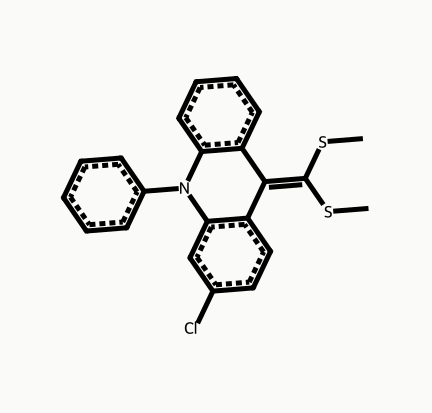 CSC(SC)=C1c2ccccc2N(c2ccccc2)c2cc(Cl)ccc21